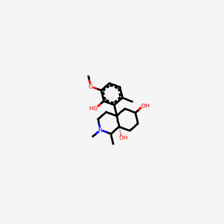 COc1ccc(C)c(C23CCN(C)C(C)[C@]2(O)CCC(O)C3)c1O